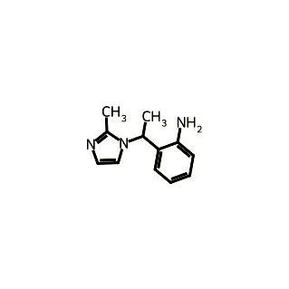 Cc1nccn1C(C)c1ccccc1N